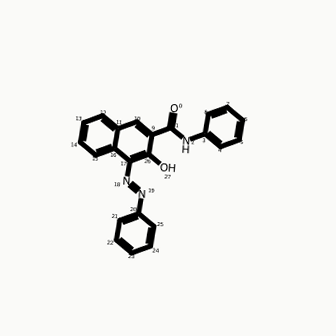 O=C(Nc1ccccc1)c1cc2ccccc2c(N=Nc2ccccc2)c1O